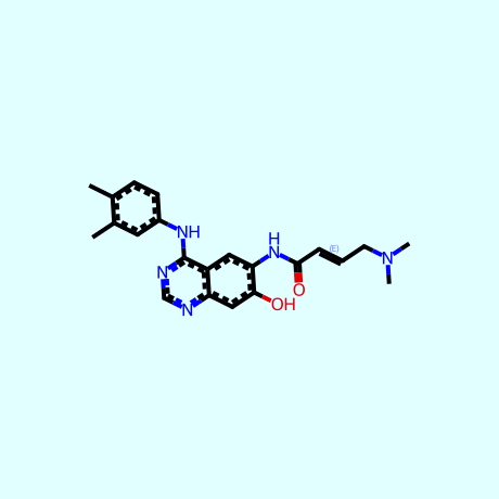 Cc1ccc(Nc2ncnc3cc(O)c(NC(=O)/C=C/CN(C)C)cc23)cc1C